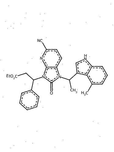 CCOC(=O)CC(c1ccccc1)n1c(=O)n(C(C)c2c[nH]c3cccc(C)c23)c2ccc(C#N)nc21